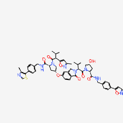 Cc1cc(C(C(=O)N2C[C@H](Oc3ccc4c(c3)CN([C@H](C(=O)N3C[C@H](O)C[C@H]3C(=O)NCc3ccc(-c5ccno5)cc3)C(C)C)C4=O)C[C@H]2C(=O)NCc2ccc(-c3scnc3C)cc2)C(C)C)on1